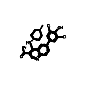 CC(C)C(=O)c1cnc2ccc(-c3cc(Cl)c(O)c(Cl)c3)cc2c1N[C@H]1CC[C@H](C)CC1